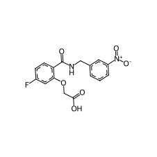 O=C(O)COc1cc(F)ccc1C(=O)NCc1cccc([N+](=O)[O-])c1